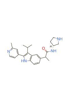 Cc1cc(-c2[nH]c3ccc(C(C)C(=O)N[C@@H]4CCNC4)cc3c2C(C)C)ccn1